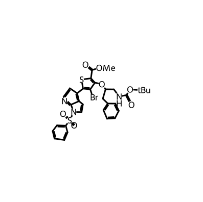 COC(=O)c1sc(-c2ccnc3c2ccn3S(=O)(=O)c2ccccc2)c(Br)c1OC(CNC(=O)OC(C)(C)C)Cc1ccccc1